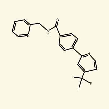 O=C(NCc1ccccn1)c1ccc(-c2cc(C(F)(F)F)ccn2)cc1